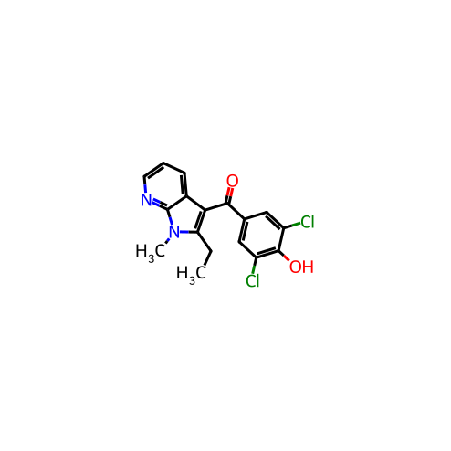 CCc1c(C(=O)c2cc(Cl)c(O)c(Cl)c2)c2cccnc2n1C